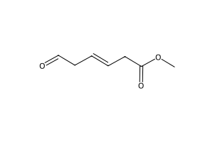 COC(=O)C/C=C/CC=O